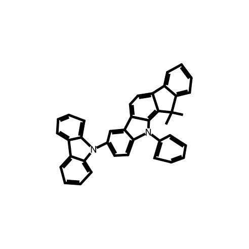 CC1(C)c2ccccc2-c2ccc3c4cc(-n5c6ccccc6c6ccccc65)ccc4n(-c4ccccc4)c3c21